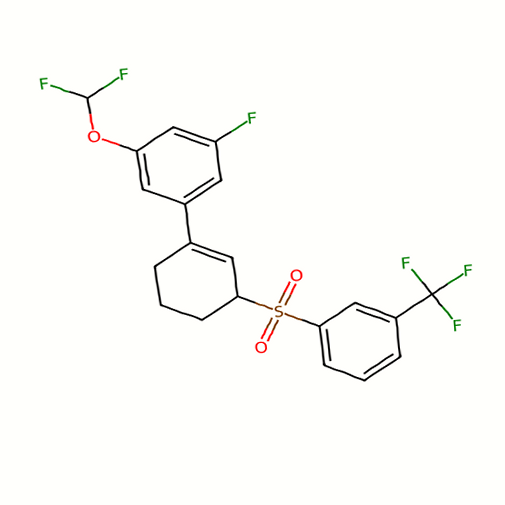 O=S(=O)(c1cccc(C(F)(F)F)c1)C1C=C(c2cc(F)cc(OC(F)F)c2)CCC1